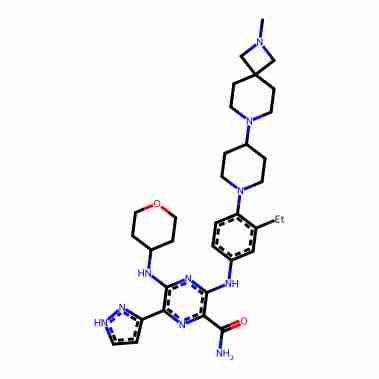 CCc1cc(Nc2nc(NC3CCOCC3)c(-c3cc[nH]n3)nc2C(N)=O)ccc1N1CCC(N2CCC3(CC2)CN(C)C3)CC1